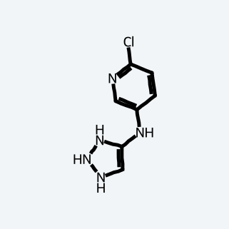 Clc1ccc(NC2=CNNN2)cn1